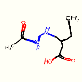 CCC(NNC(C)=O)C(=O)O